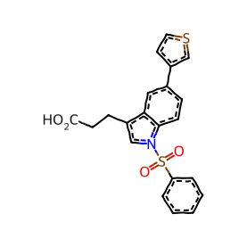 O=C(O)CCc1cn(S(=O)(=O)c2ccccc2)c2ccc(-c3ccsc3)cc12